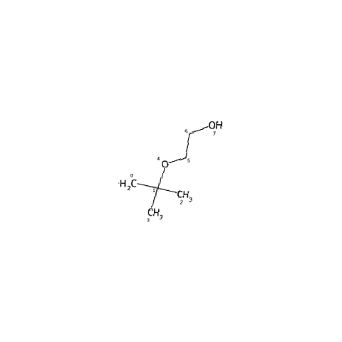 [CH2]C(C)(C)OCCO